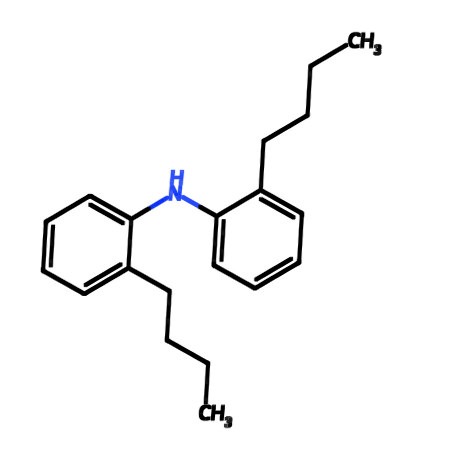 CCCCc1ccccc1Nc1ccccc1CCCC